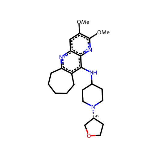 COc1cc2nc3c(c(NC4CCN([C@@H]5CCOC5)CC4)c2nc1OC)CCCCC3